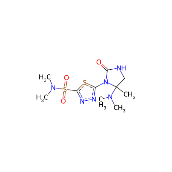 CN(C)C1(C)CNC(=O)N1c1nnc(S(=O)(=O)N(C)C)s1